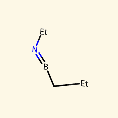 CCCB=NCC